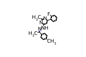 C/C(=N/Nc1cc(-c2ccccc2F)nc(C)n1)c1ccc(C)cc1